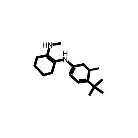 CNC1=C(NC2=CC=C(C(C)(C)C)C(C)C2)CCCC1